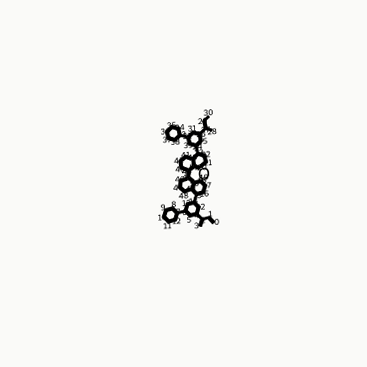 C=CC(=C)c1cc(-c2ccccc2)cc(-c2ccc3oc4ccc(-c5cc(/C(C)=C/C)cc(-c6ccccc6)c5)c5cccc(c6cccc2c36)c45)c1